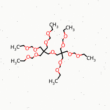 CCOCOCC(COCOCC)(COCOCC)COCC(COCOCC)(COCOCC)COCOCC